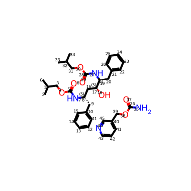 CC(C)COC(=O)N[C@@H](Cc1ccccc1)C[C@H](O)[C@H](Cc1ccccc1)NC(=O)OCC(C)C.NC(=O)OCc1cccnc1